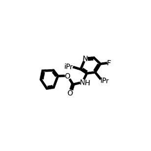 CC(C)c1ncc(F)c(C(C)C)c1NC(=O)Oc1ccccc1